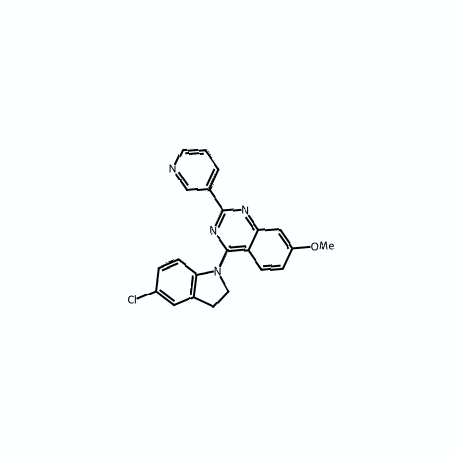 COc1ccc2c(N3CCc4cc(Cl)ccc43)nc(-c3cccnc3)nc2c1